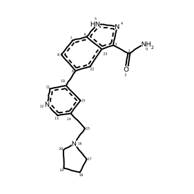 NC(=O)c1n[nH]c2ccc(-c3cncc(CN4CCCC4)c3)cc12